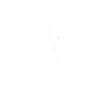 Cl.Cl.[F][Ru-4]([F])([F])([F])([F])[F]